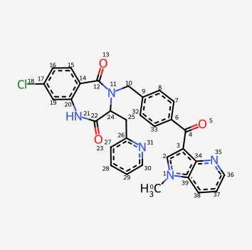 Cn1cc(C(=O)c2ccc(CN3C(=O)c4ccc(Cl)cc4NC(=O)C3Cc3ccccn3)cc2)c2ncccc21